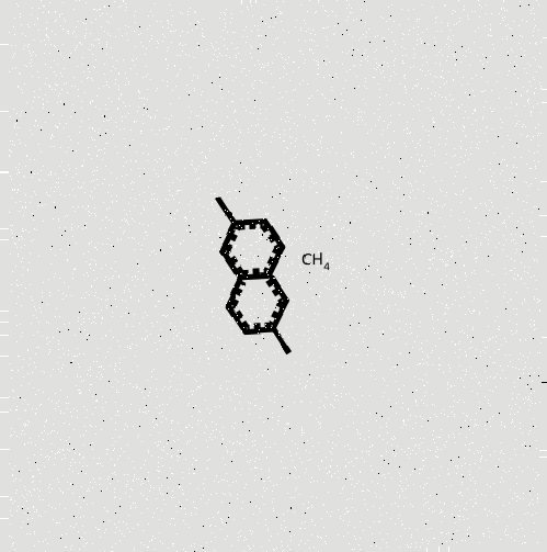 C.Cc1ccc2cc(C)ccc2c1